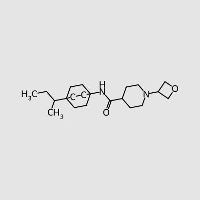 CCC(C)C12CCC(NC(=O)C3CCN(C4COC4)CC3)(CC1)CC2